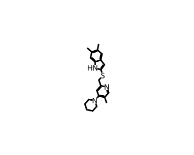 Cc1cc2cc(SCc3cc(N4CCCCC4)c(C)cn3)[nH]c2cc1C